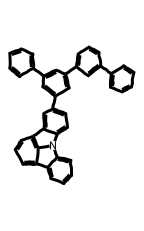 c1ccc(-c2cccc(-c3cc(-c4ccccc4)cc(-c4ccc5c(c4)c4cccc6c7ccccc7n5c64)c3)c2)cc1